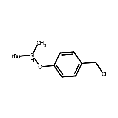 C[SiH](Oc1ccc(CCl)cc1)C(C)(C)C